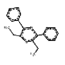 CCc1nc(CC)c(-c2ccccc2)nc1-c1ccccc1